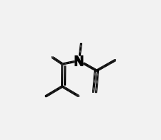 C=C(C)N(C)C(C)=C(C)C